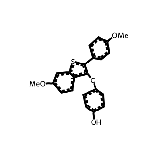 COc1ccc(-c2sc3cc(OC)ccc3c2Oc2ccc(O)cc2)cc1